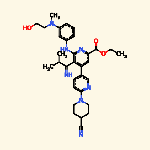 CCOC(=O)c1cc(-c2ccc(N3CCC(C#N)CC3)nc2)c(C(=N)C(C)C)c(Nc2cccc(N(C)CCO)c2)n1